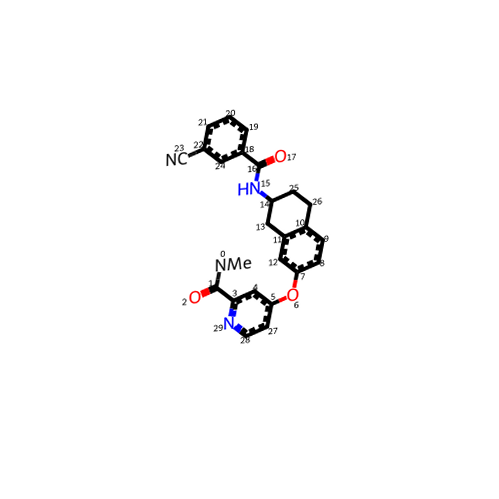 CNC(=O)c1cc(Oc2ccc3c(c2)CC(NC(=O)c2cccc(C#N)c2)CC3)ccn1